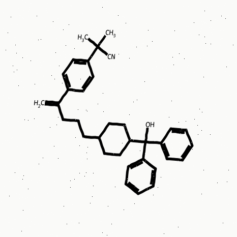 C=C(CCCC1CCC(C(O)(c2ccccc2)c2ccccc2)CC1)c1ccc(C(C)(C)C#N)cc1